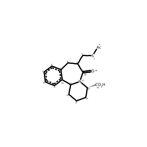 CC(=O)SCC1Cc2ccccc2C2CCC[C@@H](C(=O)O)N2C1=O